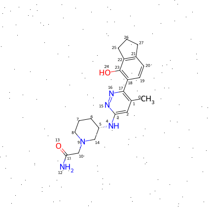 Cc1cc(N[C@H]2CCCN(CC(N)=O)C2)nnc1-c1ccc2c(c1O)CCC2